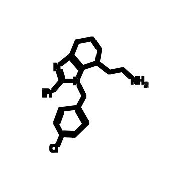 CC(C)c1nc2c(n1Cc1ccc(Cl)cc1)C(CCN)CCC2